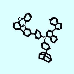 c1ccc2c(c1)Oc1cccc3c4ccc(-c5ccc(N(c6ccc(C78CC9CC(CC(C9)C7)C8)cc6)c6ccc(-c7cccc8ccccc78)c7ccccc67)cc5)cc4n-2c13